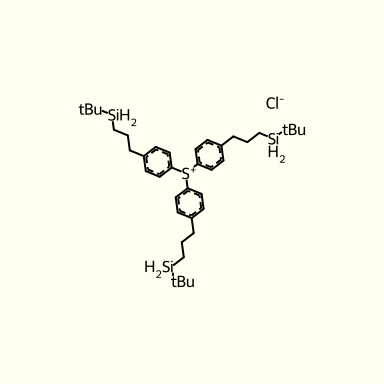 CC(C)(C)[SiH2]CCCc1ccc([S+](c2ccc(CCC[SiH2]C(C)(C)C)cc2)c2ccc(CCC[SiH2]C(C)(C)C)cc2)cc1.[Cl-]